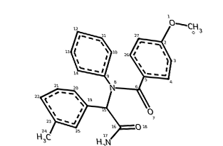 COc1ccc(C(=O)N(c2ccccc2)C(C(N)=O)c2cccc(C)c2)cc1